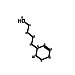 OCCCCC1C=CCCC1